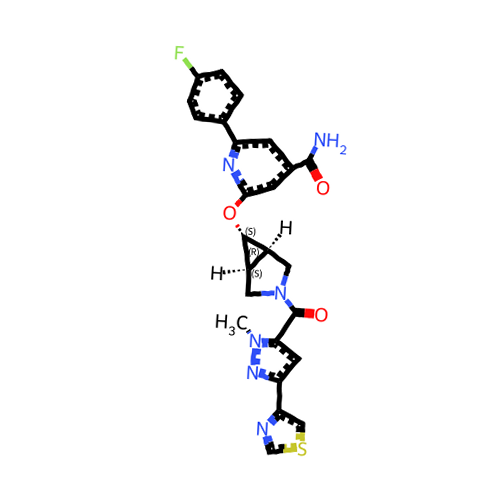 Cn1nc(-c2cscn2)cc1C(=O)N1C[C@@H]2[C@H](C1)[C@H]2Oc1cc(C(N)=O)cc(-c2ccc(F)cc2)n1